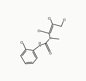 CN(C(=O)Nc1ccccc1Cl)/C(Cl)=C(/Cl)CCl